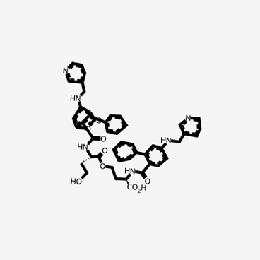 O=C(N[C@@H](CCOC(=O)[C@H](CCO)NC(=O)c1c(-c2ccccc2)c2c(NCc3cccnc3)cc1oc2=O)C(=O)O)c1ccc(NCc2cccnc2)cc1-c1ccccc1